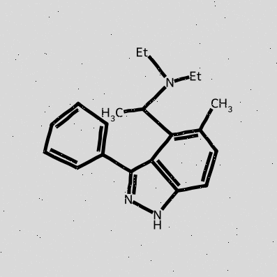 CCN(CC)C(C)c1c(C)ccc2[nH]nc(-c3ccccc3)c12